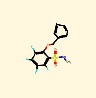 CNS(=O)(=O)c1c(F)c(F)c(F)c(F)c1OCc1ccccc1